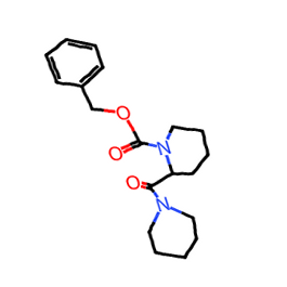 O=C(C1CCCCN1C(=O)OCc1ccccc1)N1CCCCC1